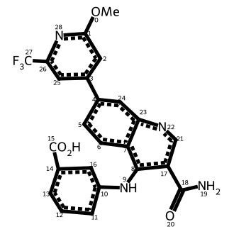 COc1cc(-c2ccc3c(Nc4cccc(C(=O)O)c4)c(C(N)=O)cnc3c2)cc(C(F)(F)F)n1